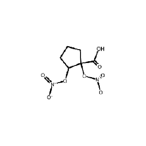 O=C(O)C1(O[N+](=O)[O-])CCCC1O[N+](=O)[O-]